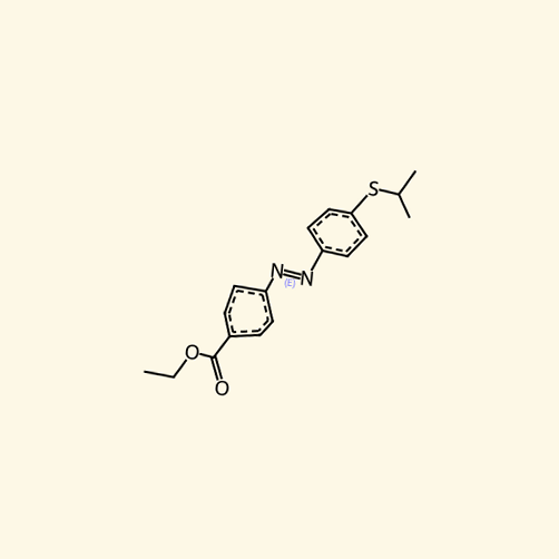 CCOC(=O)c1ccc(/N=N/c2ccc(SC(C)C)cc2)cc1